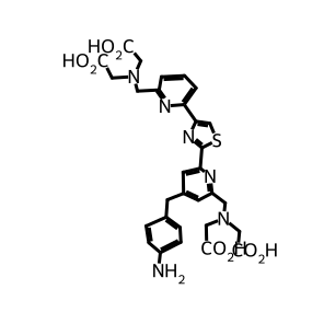 Nc1ccc(Cc2cc(CN(CC(=O)O)CC(=O)O)nc(-c3nc(-c4cccc(CN(CC(=O)O)CC(=O)O)n4)cs3)c2)cc1